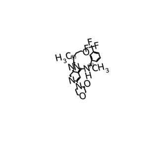 C[C@@H]1CCOc2c(cccc2C(F)(F)F)[C@@H](C)Nc2nc1nc1cnc(N3CCOCC3=O)cc21